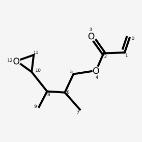 C=CC(=O)OCC(C)C(C)C1CO1